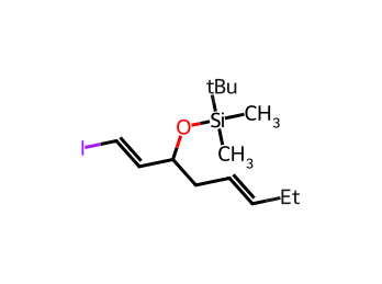 CC/C=C/CC(/C=C/I)O[Si](C)(C)C(C)(C)C